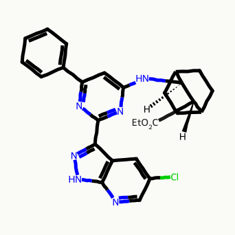 CCOC(=O)[C@H]1C2CCC(CC2)[C@@H]1Nc1cc(-c2ccccc2)nc(-c2n[nH]c3ncc(Cl)cc23)n1